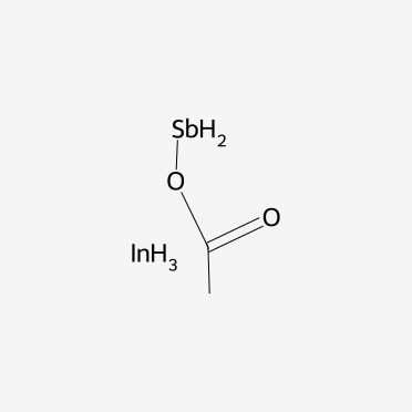 CC(=O)[O][SbH2].[InH3]